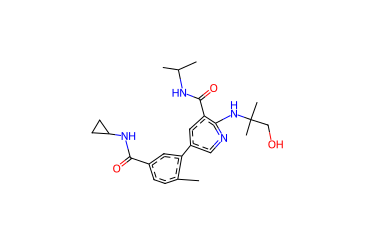 Cc1ccc(C(=O)NC2CC2)cc1-c1cnc(NC(C)(C)CO)c(C(=O)NC(C)C)c1